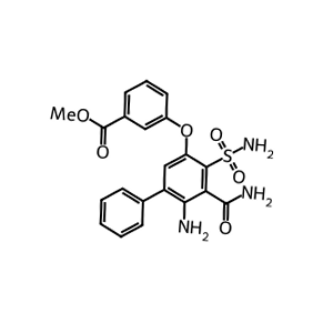 COC(=O)c1cccc(Oc2cc(-c3ccccc3)c(N)c(C(N)=O)c2S(N)(=O)=O)c1